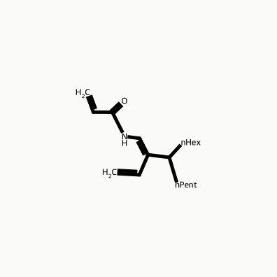 C=CC(=O)N/C=C(\C=C)C(CCCCC)CCCCCC